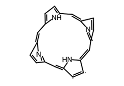 [c]1[c]c2cc3nc(cc4ccc(cc5nc(cc1[nH]2)C=C5)[nH]4)C=C3